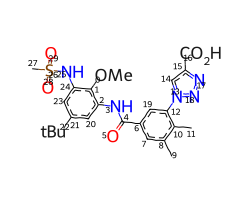 COc1c(NC(=O)c2cc(C)c(C)c(-n3cc(C(=O)O)nn3)c2)cc(C(C)(C)C)cc1NS(C)(=O)=O